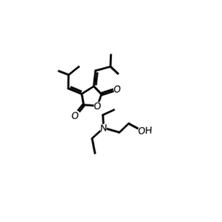 CC(C)C=C1C(=O)OC(=O)C1=CC(C)C.CCN(CC)CCO